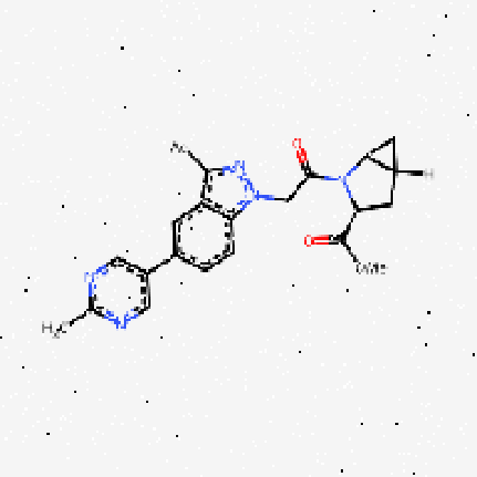 COC(=O)[C@@H]1C[C@H]2CC2N1C(=O)Cn1nc(C(C)=O)c2cc(-c3cnc(C)nc3)ccc21